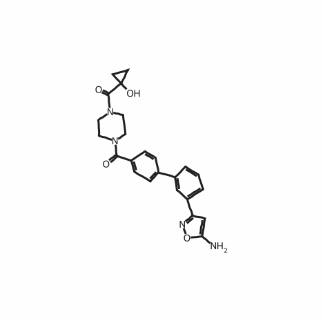 Nc1cc(-c2cccc(-c3ccc(C(=O)N4CCN(C(=O)C5(O)CC5)CC4)cc3)c2)no1